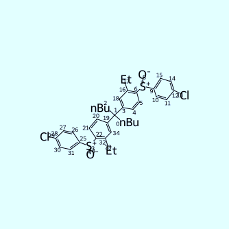 CCCCC(CCCC)(c1ccc([S+]([O-])c2ccc(Cl)cc2)c(CC)c1)c1ccc([S+]([O-])c2ccc(Cl)cc2)c(CC)c1